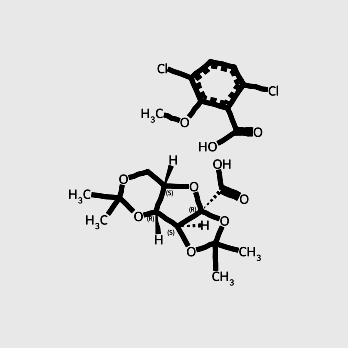 CC1(C)OC[C@@H]2O[C@@]3(C(=O)O)OC(C)(C)O[C@H]3[C@@H]2O1.COc1c(Cl)ccc(Cl)c1C(=O)O